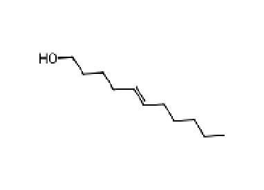 CCCCCC=CCCCCO